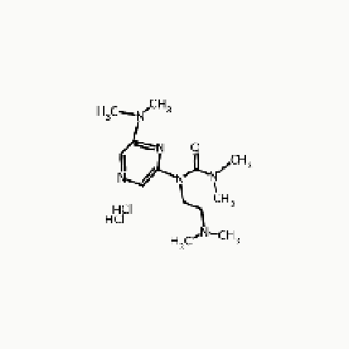 CN(C)CCN(C(=O)N(C)C)c1cncc(N(C)C)n1.Cl.Cl